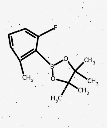 Cc1cccc(F)c1B1OC(C)(C)C(C)(C)O1